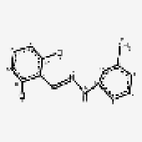 Cc1cccc(N/N=C/c2c(Cl)cccc2Cl)c1